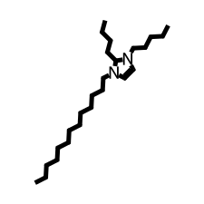 CCCCCCCCCCCCCN1C=CN(CCCCC)C1CCCC